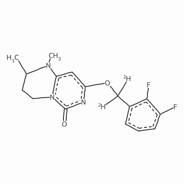 [2H]C([2H])(Oc1cc2n(c(=O)n1)CCC(C)N2C)c1cccc(F)c1F